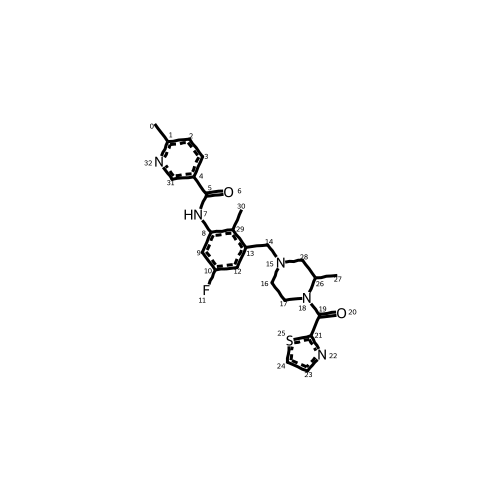 Cc1ccc(C(=O)Nc2cc(F)cc(CN3CCN(C(=O)c4nccs4)C(C)C3)c2C)cn1